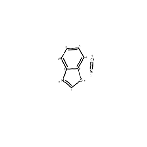 O=S.c1ccc2scnc2c1